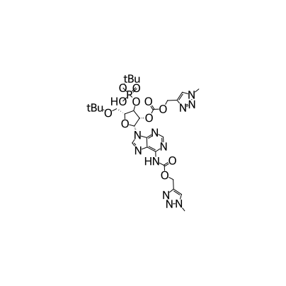 Cn1cc(COC(=O)Nc2ncnc3c2ncn3[C@@H]2O[C@H](COC(C)(C)C)C(OP(=O)(O)OC(C)(C)C)[C@@H]2OC(=O)OCc2cn(C)nn2)nn1